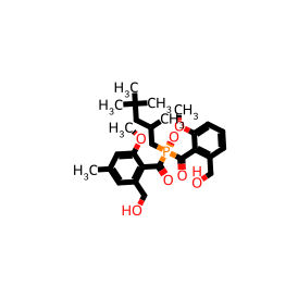 COc1cccc(CO)c1C(=O)P(=O)(CC(C)CC(C)(C)C)C(=O)c1c(CO)cc(C)cc1OC